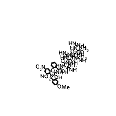 COc1ccc(CN(c2ccc([N+](=O)[O-])cc2[N+](=O)[O-])C(O)C(=O)NC(C(=O)NC(NC(=N)N)C(=O)NC(NC(=N)N)C(=O)NC(NC(=N)N)C(=O)NC(NC(=N)N)C(N)=O)c2ccccc2)cc1